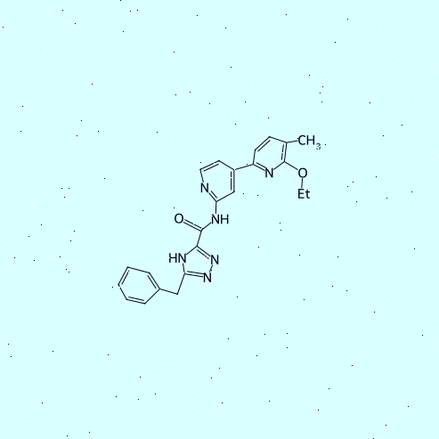 CCOc1nc(-c2ccnc(NC(=O)c3nnc(Cc4ccccc4)[nH]3)c2)ccc1C